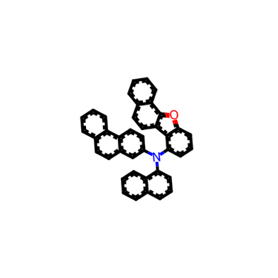 c1ccc2c(N(c3ccc4c(ccc5ccccc54)c3)c3cccc4oc5c6ccccc6ccc5c34)cccc2c1